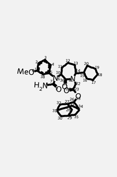 COc1cccc(N(C(N)=O)C2CCCC(C3CCCCC3)N(CC(=O)OC3C4CC5CC(C4)CC3C5)C2=O)c1